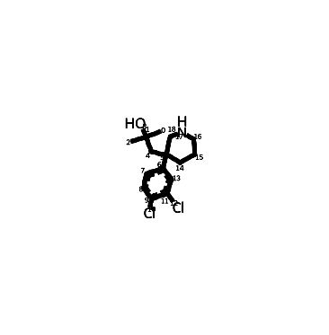 CC(C)(O)CC1(c2ccc(Cl)c(Cl)c2)CCCNC1